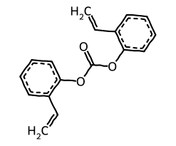 C=Cc1ccccc1OC(=O)Oc1ccccc1C=C